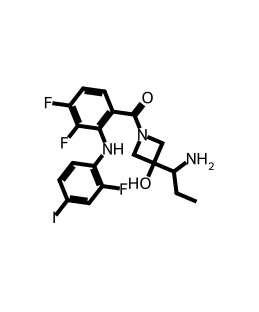 CCC(N)C1(O)CN(C(=O)c2ccc(F)c(F)c2Nc2ccc(I)cc2F)C1